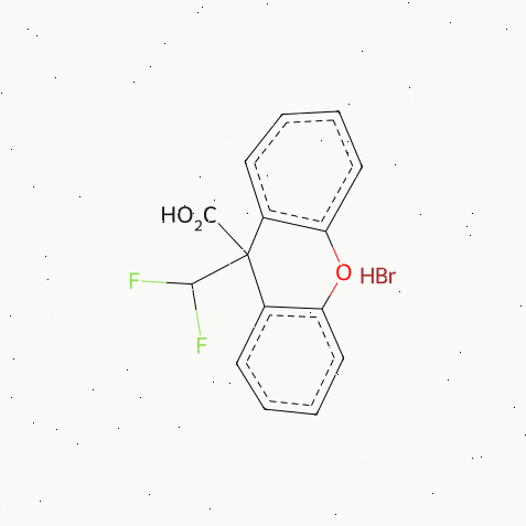 Br.O=C(O)C1(C(F)F)c2ccccc2Oc2ccccc21